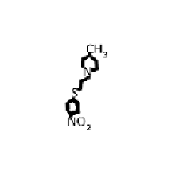 CC1CCN(CCCSc2ccc([N+](=O)[O-])cc2)CC1